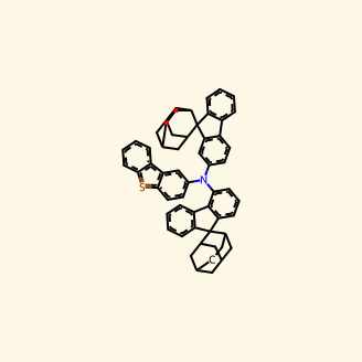 c1ccc2c(c1)-c1ccc(N(c3ccc4sc5ccccc5c4c3)c3cccc4c3-c3ccccc3C43C4CCC5CC(C4)CC3C5)cc1C21C2CCC3CC(C2)CC1C3